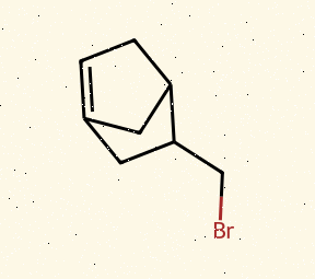 BrCC1CC2=CCC1C2